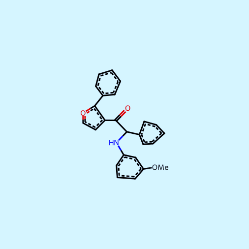 COc1cccc(NC(C(=O)c2ccoc2-c2ccccc2)c2ccccc2)c1